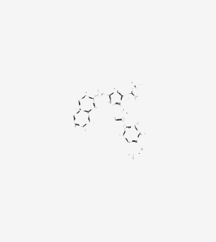 N#CCc1ccc(C(=O)Nc2sc(Nc3ccc4ccccc4c3)nc2C(N)=O)cc1